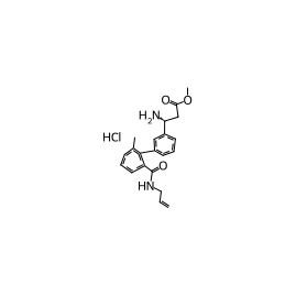 C=CCNC(=O)c1cccc(C)c1-c1cccc([C@@H](N)CC(=O)OC)c1.Cl